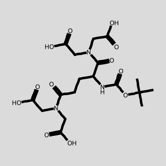 CC(C)(C)OC(=O)NC(CCC(=O)N(CC(=O)O)CC(=O)O)C(=O)N(CC(=O)O)CC(=O)O